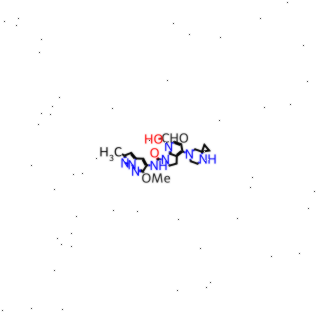 COc1nn2nc(C)cc2cc1NC(=O)N1CCc2c(N3CCNC4(CC4)C3)ccnc21.O=CO